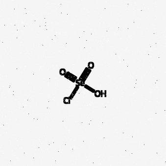 O=[Se](=O)(O)Cl